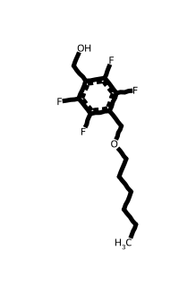 CCCCCCOCc1c(F)c(F)c(CO)c(F)c1F